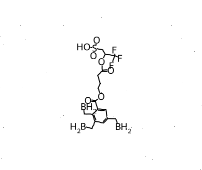 BCc1cc(CB)c(CB)c(C(=O)OCCCC(=O)OC(CS(=O)(=O)O)C(F)(F)F)c1